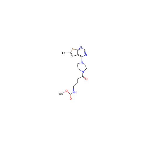 CCc1cc2c(N3CCN(C(=O)CCCNC(=O)OC(C)(C)C)CC3)ncnc2s1